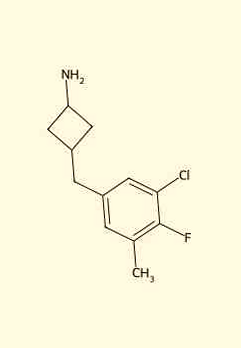 Cc1cc(CC2CC(N)C2)cc(Cl)c1F